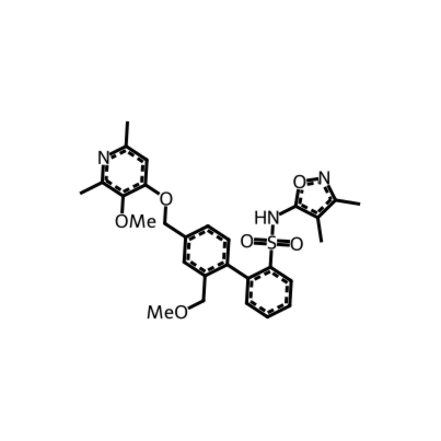 COCc1cc(COc2cc(C)nc(C)c2OC)ccc1-c1ccccc1S(=O)(=O)Nc1onc(C)c1C